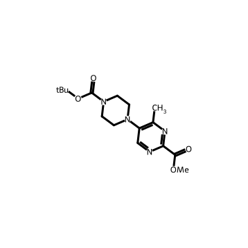 COC(=O)c1ncc(N2CCN(C(=O)OC(C)(C)C)CC2)c(C)n1